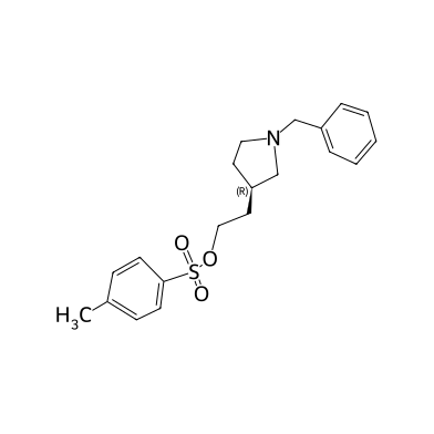 Cc1ccc(S(=O)(=O)OCC[C@H]2CCN(Cc3ccccc3)C2)cc1